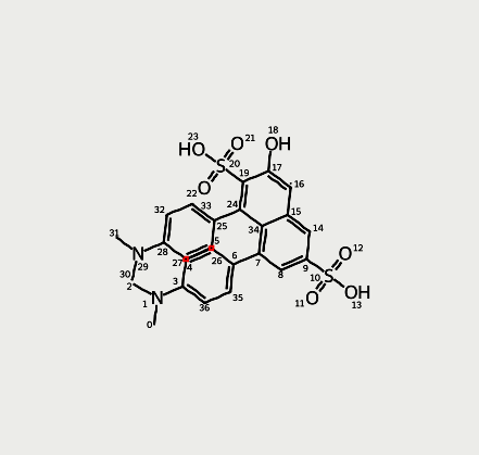 CN(C)c1ccc(-c2cc(S(=O)(=O)O)cc3[c]c(O)c(S(=O)(=O)O)c(-c4ccc(N(C)C)cc4)c23)cc1